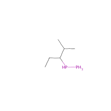 CCC(PP)C(C)C